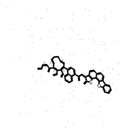 C=C/C=C\C(=C)C1=C(C=C)/C(C=C)=C(c2ccc(C(=C)/C=c3\c(=C)sc4c3ccc3ccc5c6ccccc6oc5c34)c3ccccc23)\C=C\CC\C=C\1